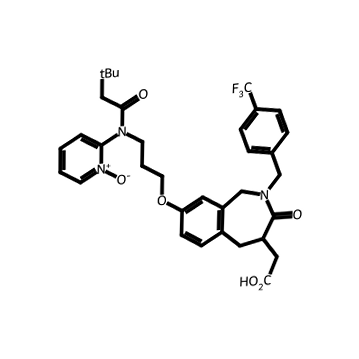 CC(C)(C)CC(=O)N(CCCOc1ccc2c(c1)CN(Cc1ccc(C(F)(F)F)cc1)C(=O)C(CC(=O)O)C2)c1cccc[n+]1[O-]